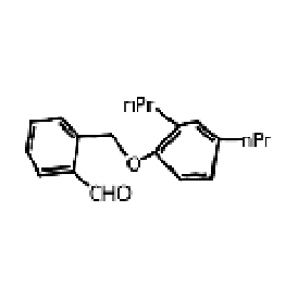 CCCc1ccc(OCc2ccccc2C=O)c(CCC)c1